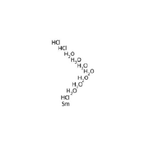 Cl.Cl.Cl.O.O.O.O.O.O.O.[Sm]